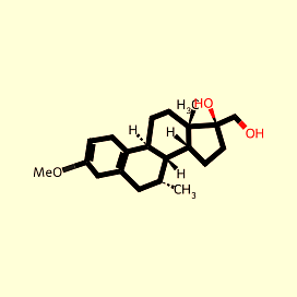 COC1=CCC2=C(C1)C[C@@H](C)[C@@H]1[C@@H]2CC[C@@]2(C)[C@@H]1CC[C@@]2(O)CO